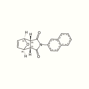 O=C1[C@@H]2[C@H](C(=O)N1c1ccc3ccccc3c1)[C@H]1C=C[C@@H]2O1